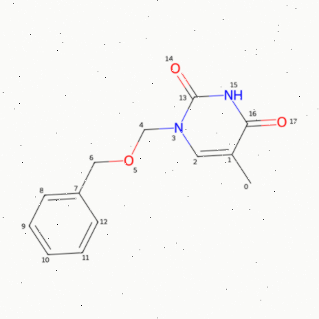 Cc1cn(COCc2ccccc2)c(=O)[nH]c1=O